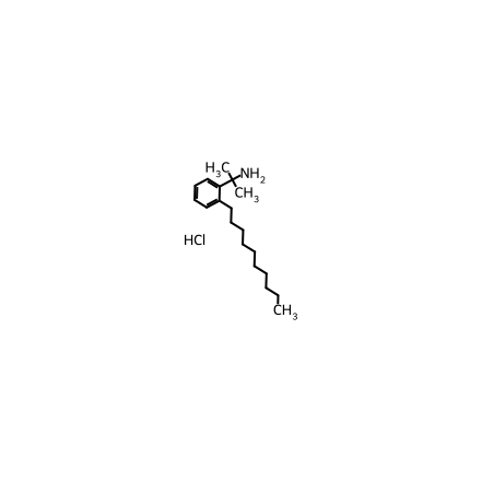 CCCCCCCCCCc1ccccc1C(C)(C)N.Cl